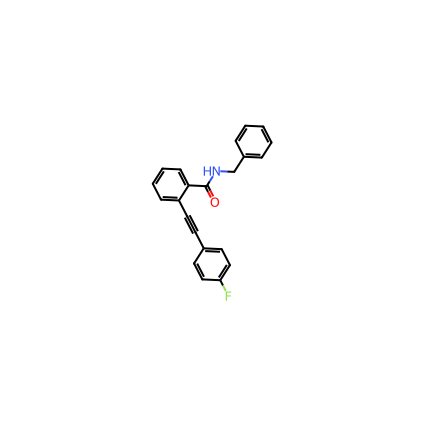 O=C(NCc1ccccc1)c1ccccc1C#Cc1ccc(F)cc1